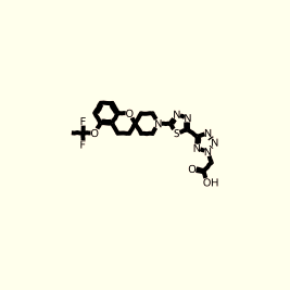 CC(F)(F)Oc1cccc2c1CCC1(CCN(c3nnc(-c4nnn(CC(=O)O)n4)s3)CC1)O2